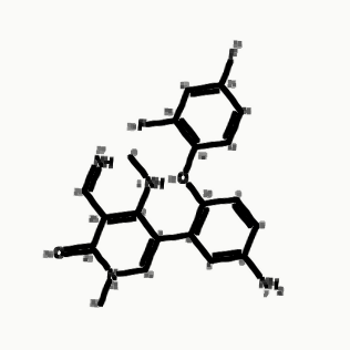 CNc1c(-c2cc(N)ccc2Oc2ccc(F)cc2F)cn(C)c(=O)c1C=N